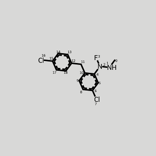 CNN(F)c1cc(Cl)ccc1Cc1ccc(Cl)cc1